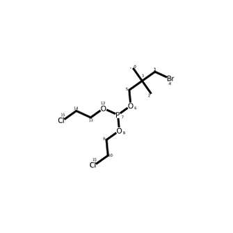 [CH2]C(C)(CBr)COP(OCCCl)OCCCl